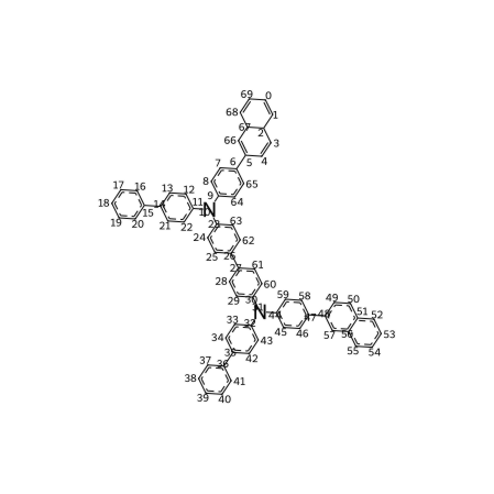 C1=CC2C=CC(c3ccc(N(c4ccc(-c5ccccc5)cc4)c4ccc(-c5ccc(N(c6ccc(-c7ccccc7)cc6)c6ccc(-c7ccc8ccccc8c7)cc6)cc5)cc4)cc3)=CC2C=C1